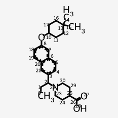 CCC(c1ccc2cc(OC3CCC(C)(C)CC3)ccc2c1)N1CCC(C(=O)O)CC1